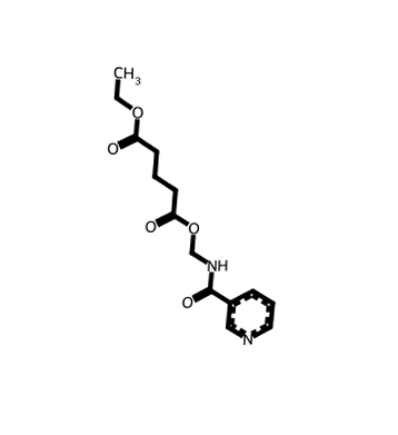 CCOC(=O)CCCC(=O)OCNC(=O)c1cccnc1